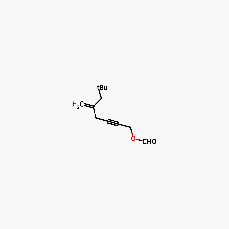 C=C(CC#CCOC=O)CC(C)(C)C